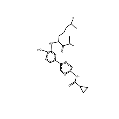 CN(C)C(=O)C(CCCC(F)F)Nc1cc(-c2cnc(NC(=O)C3CC3)cn2)ccc1C#N